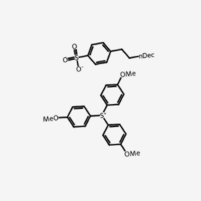 CCCCCCCCCCCCc1ccc(S(=O)(=O)[O-])cc1.COc1ccc([S+](c2ccc(OC)cc2)c2ccc(OC)cc2)cc1